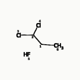 CCC(Cl)Cl.F